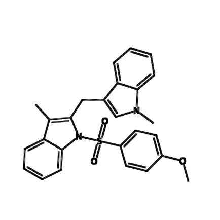 COc1ccc(S(=O)(=O)n2c(Cc3cn(C)c4ccccc34)c(C)c3ccccc32)cc1